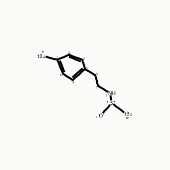 CC(C)(C)c1ccc(CCN[S+]([O-])C(C)(C)C)cc1